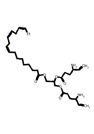 C=CC(N)CCC(=O)OCC(COC(=O)CCCCCCC/C=C\C/C=C\C/C=C\CC)OC(=O)CCC(N)C=C